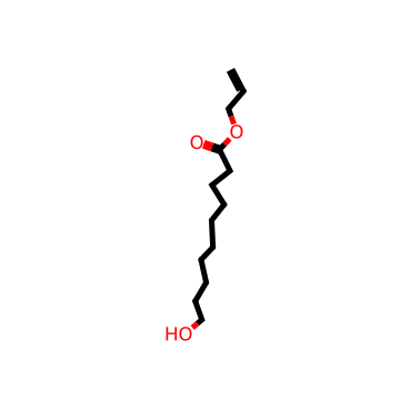 C=CCOC(=O)CCCCCCCCCO